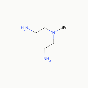 [CH2]C(C)N(CCN)CCN